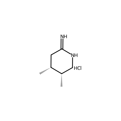 C[C@@H]1CC(=N)NC[C@@H]1C.Cl